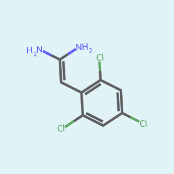 NC(N)=Cc1c(Cl)cc(Cl)cc1Cl